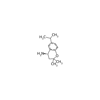 CC(C)c1ccc2c(c1)[C@H](N)CC(C)(C)O2